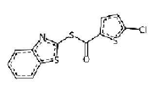 O=C(Sc1nc2ccccc2s1)c1ccc(Cl)s1